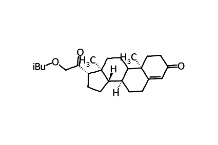 CCC(C)OCC(=O)[C@H]1CC[C@H]2[C@@H]3CCC4=CC(=O)CC[C@]4(C)C3CC[C@]12C